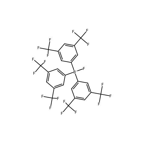 F[B-](c1cc(C(F)(F)F)cc(C(F)(F)F)c1)(c1cc(C(F)(F)F)cc(C(F)(F)F)c1)c1cc(C(F)(F)F)cc(C(F)(F)F)c1